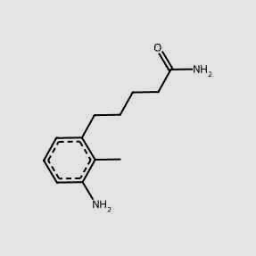 Cc1c(N)cccc1CCCCC(N)=O